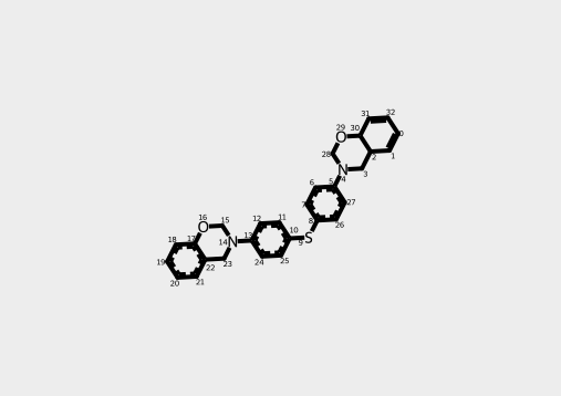 C1=CC2CN(c3ccc(Sc4ccc(N5COc6ccccc6C5)cc4)cc3)COC2C=C1